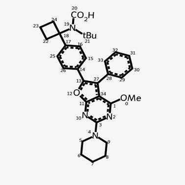 COc1nc(N2CCCCC2)nc2oc(-c3ccc(C4(N(C(=O)O)C(C)(C)C)CCC4)cc3)c(-c3ccccc3)c12